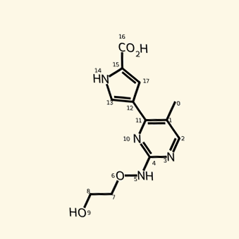 Cc1cnc(NOCCO)nc1-c1c[nH]c(C(=O)O)c1